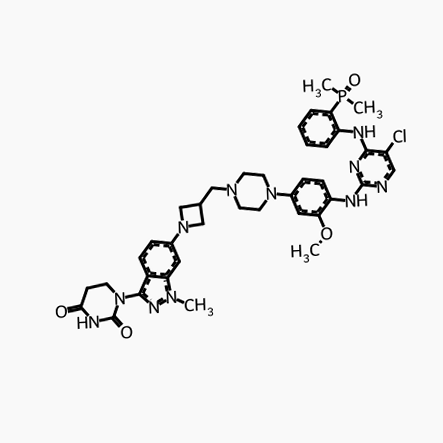 COc1cc(N2CCN(CC3CN(c4ccc5c(N6CCC(=O)NC6=O)nn(C)c5c4)C3)CC2)ccc1Nc1ncc(Cl)c(Nc2ccccc2P(C)(C)=O)n1